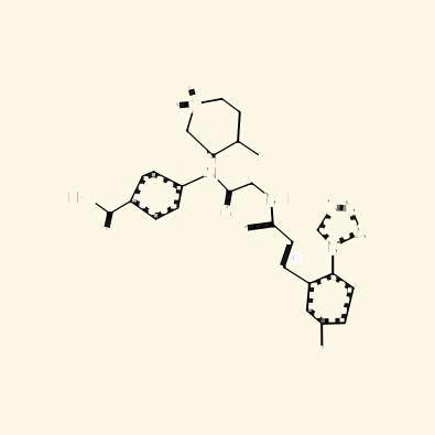 O=C(/C=C/c1cc(Cl)ccc1-n1cnnn1)N[C@@H](CC1CCS(=O)(=O)CC1)C(=O)Nc1ccc(C(=O)O)cc1